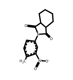 Cc1ccc(N2C(=O)C3CCCCC3C2=O)cc1[N+](=O)[O-]